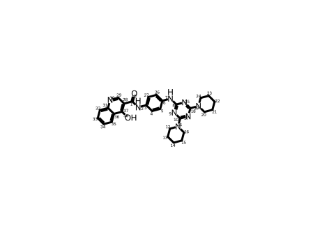 O=C(Nc1ccc(Nc2nc(N3CCCCC3)nc(N3CCCCC3)n2)cc1)c1cnc2ccccc2c1O